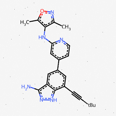 Cc1noc(C)c1Nc1cc(-c2cc(C#CC(C)(C)C)c3[nH]nc(N)c3c2)ccn1